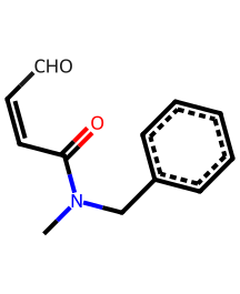 CN(Cc1ccccc1)C(=O)/C=C\C=O